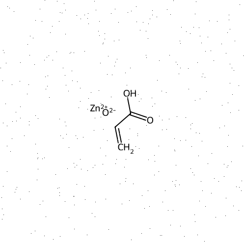 C=CC(=O)O.[O-2].[Zn+2]